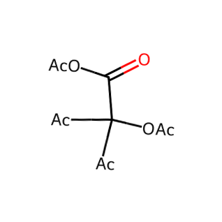 CC(=O)OC(=O)C(OC(C)=O)(C(C)=O)C(C)=O